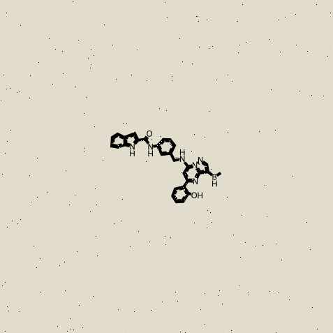 CBc1cnn2c(NCc3cccc(NC(=O)c4cc5ccccc5[nH]4)c3)cc(-c3ccccc3O)nc12